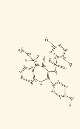 COc1ccc(C2=C(OS(=O)(=O)c3cc(Cl)ccc3Cl)C(=O)N(C(C)(C)CN)c3ccccc3S2)cc1